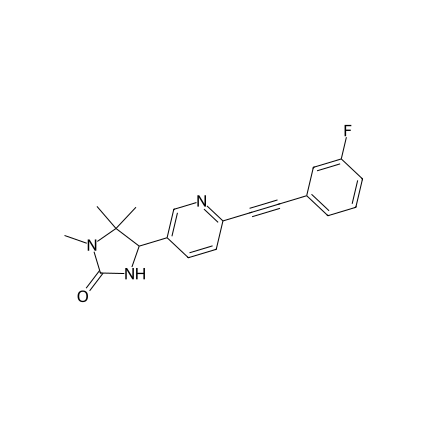 CN1C(=O)NC(c2ccc(C#Cc3cccc(F)c3)nc2)C1(C)C